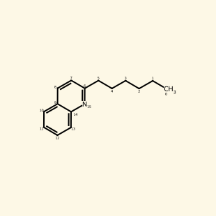 CCCCCCc1ccc2ccccc2n1